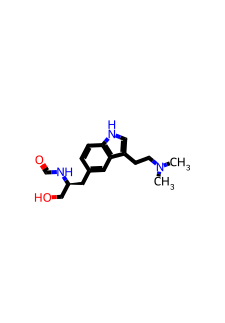 CN(C)CCc1c[nH]c2ccc(C[C@@H](CO)NC=O)cc12